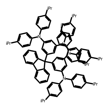 CC(C)c1ccc(N(c2ccc(C(C)C)cc2)c2cc(N(c3ccc(C(C)C)cc3)c3ccc(C(C)C)cc3)cc(C3(c4cc(N(c5ccc(C(C)C)cc5)c5ccc(C(C)C)cc5)cc(N(c5ccc(C(C)C)cc5)c5ccc(C(C)C)cc5)c4)c4ccccc4-c4ccccc43)c2)cc1